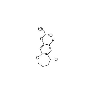 CC(C)(C)C(=O)Oc1cc2c(cc1F)C(=O)CCCO2